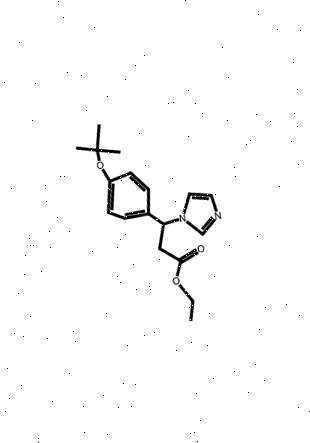 CCOC(=O)CC(c1ccc(OC(C)(C)C)cc1)n1ccnc1